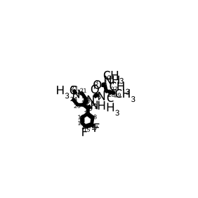 CNC(=O)C(NC(=O)n1nc(-c2ccc(F)c(F)c2)c2c1CN(C)CC2)C(C)(C)C